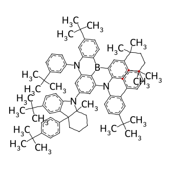 CC(C)(C)c1ccc(C23CCCCC2(C)N(c2cc4c5c(c2)N(c2ccc(C(C)(C)C)cc2-c2ccccc2)c2cc6c(cc2B5c2ccc(C(C)(C)C)cc2N4c2cccc(C(C)(C)C)c2)C(C)(C)CCC6(C)C)c2ccc(C(C)(C)C)cc23)cc1